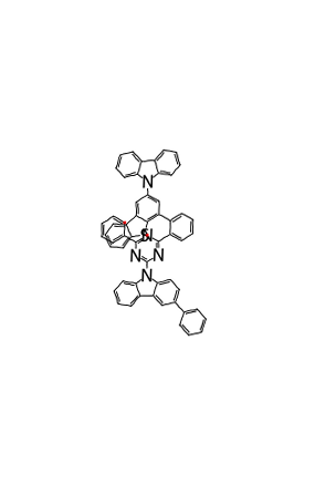 c1ccc(-c2ccc3c(c2)c2ccccc2n3-c2nc(-c3ccccc3)nc(-c3ccccc3-c3cc(-n4c5ccccc5c5ccccc54)cc4c3sc3ccccc34)n2)cc1